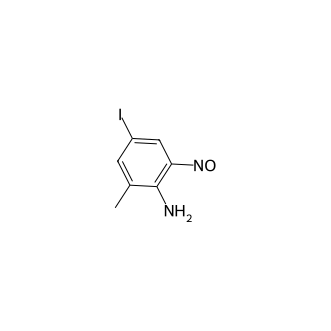 Cc1cc(I)cc(N=O)c1N